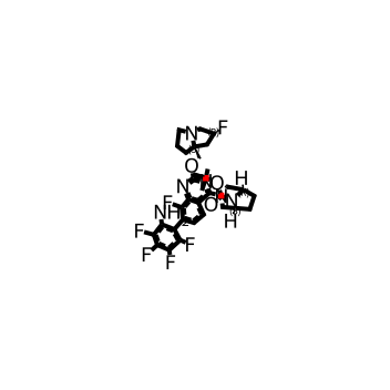 CC(C)(C)OC(=O)N1[C@@H]2CC[C@H]1CN(c1nc(OC[C@@]34CCCN3C[C@H](F)C4)nc3c(F)c(-c4c(N)c(F)c(F)c(F)c4F)ccc13)C2